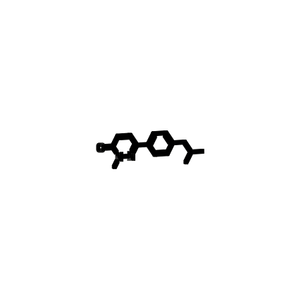 CC(C)Cc1ccc(-c2ccc(=O)n(C)n2)cc1